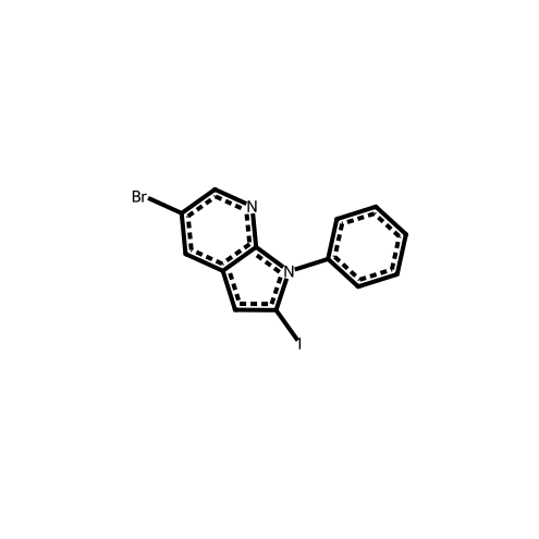 Brc1cnc2c(c1)cc(I)n2-c1ccccc1